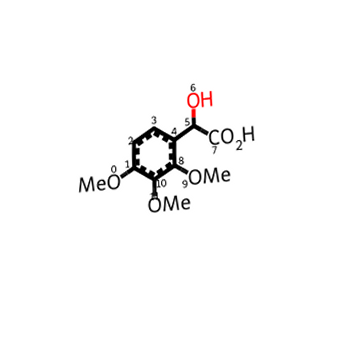 COc1ccc(C(O)C(=O)O)c(OC)c1OC